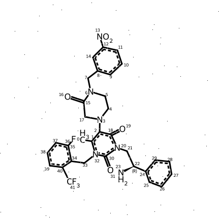 Cc1c(N2CCN(Cc3cccc([N+](=O)[O-])c3)C(=O)C2)c(=O)n(C[C@H](N)c2ccccc2)c(=O)n1Cc1c(F)cccc1C(F)(F)F